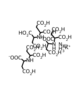 N.O=C(O)CC(NC(CC(=O)O)C(=O)O)C(=O)O.O=C(O)CC(NC(CC(=O)O)C(=O)O)C(=O)[O-].O=C(O)CC(NC(CC(=O)O)C(=O)O)C(=O)[O-].[K+].[K+]